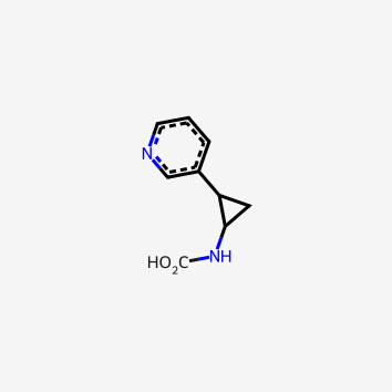 O=C(O)NC1CC1c1cccnc1